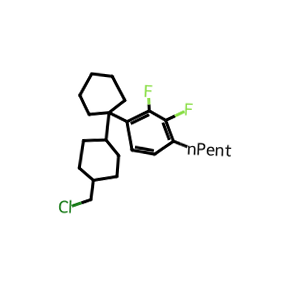 CCCCCc1ccc(C2(C3CCC(CCl)CC3)CCCCC2)c(F)c1F